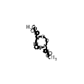 COC(=O)c1cccc(CN2CCOCCOCCN(Cc3cccc(C(=O)OC)n3)CCO[C@@H]3CCCC[C@H]3OCC2)n1